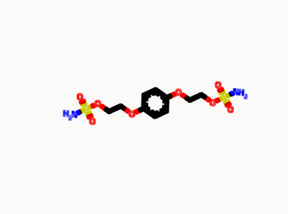 NS(=O)(=O)OCCOc1ccc(OCCOS(N)(=O)=O)cc1